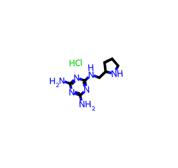 Cl.Nc1nc(N)nc(NCC2CCCN2)n1